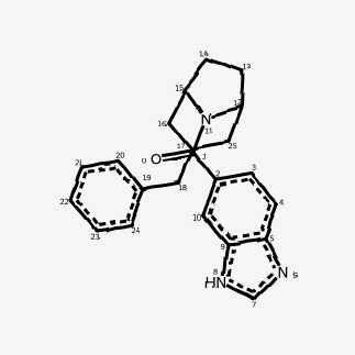 O=C(c1ccc2nc[nH]c2c1)N1C2CCC1CC(Cc1ccccc1)C2